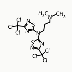 CN(C)CCCN(c1nc(C(Cl)(Cl)Cl)ns1)c1nc(C(Cl)(Cl)Cl)ns1